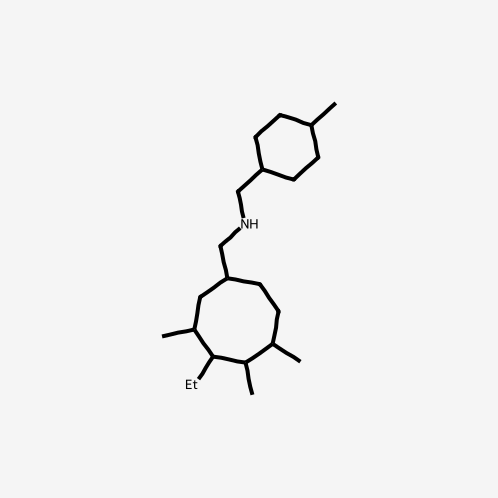 CCC1C(C)CC(CNCC2CCC(C)CC2)CCC(C)C1C